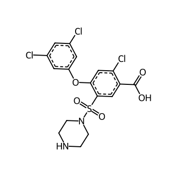 O=C(O)c1cc(S(=O)(=O)N2CCNCC2)c(Oc2cc(Cl)cc(Cl)c2)cc1Cl